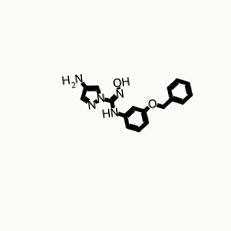 Nc1cnn(C(=NO)Nc2cccc(OCc3ccccc3)c2)c1